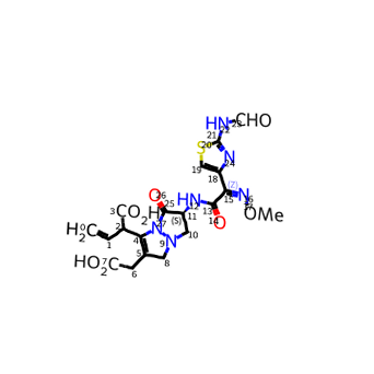 C=CC(C(=O)O)C1=C(CC(=O)O)CN2C[C@H](NC(=O)/C(=N\OC)c3csc(NC=O)n3)C(=O)N12